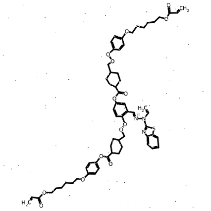 C=CC(=O)OCCCCCCOc1ccc(OOCC2CCC(C(=O)Oc3ccc(OOCC4CCC(C(=O)Oc5ccc(OCCCCCCOC(=O)C=C)cc5)CC4)c(/C=N/N(C=C)c4nc5ccccc5s4)c3)CC2)cc1